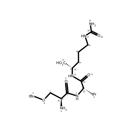 CC(C)[C@H](NC(=O)[C@@H](N)COC(C)(C)C)C(=O)N[C@@H](CCCNC(N)=O)C(=O)O